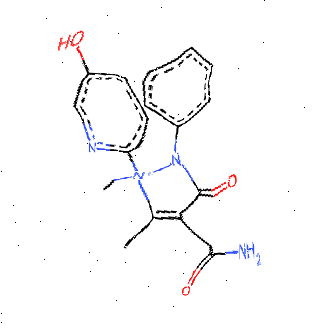 CC1=C(C(N)=O)C(=O)N(c2ccccc2)[N+]1(C)c1ccc(O)cn1